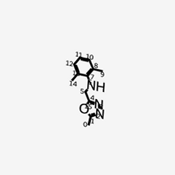 Cc1nnc(CNc2c(C)cccc2C)o1